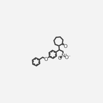 O=C1CCCCCC1C(C[N+](=O)[O-])c1ccc(OCc2ccccc2)cc1